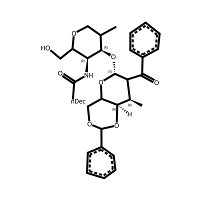 CCCCCCCCCCC(=O)N[C@H]1C(CO)OCC(C)[C@H]1O[C@H]1OC2COC(c3ccccc3)O[C@@H]2[C@H](C)C1C(=O)c1ccccc1